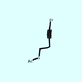 C[CH]C#CCCSC(C)=O